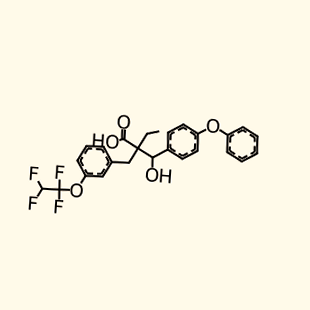 CCC(Cc1cccc(OC(F)(F)C(F)F)c1)(C(=O)O)C(O)c1ccc(Oc2ccccc2)cc1